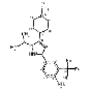 CC(C)N1NC(c2cnc(N)c(C(F)(F)F)c2)C=C1C1CCN(C)CC1